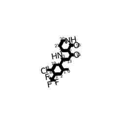 Cc1cc(C(F)(F)F)c(Cl)cc1-c1cc(=O)c2c(=O)[nH]ccc2[nH]1